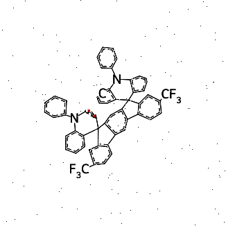 FC(F)(F)c1ccc2c(c1)C1(c3cc4c(cc3-2)-c2ccc(C(F)(F)F)cc2C42c3ccccc3N(c3ccccc3)c3ccccc32)c2ccccc2N(c2ccccc2)c2ccccc21